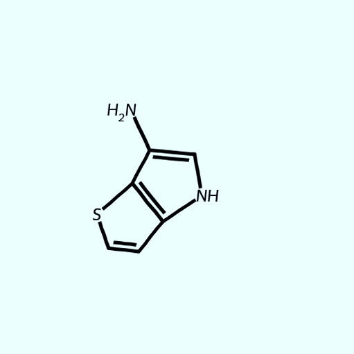 Nc1c[nH]c2ccsc12